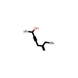 C=C(CC#CC(O)CCC)CC(C)(C)C